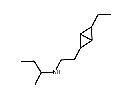 CCC(C)NCCC1C2C(CC)C12